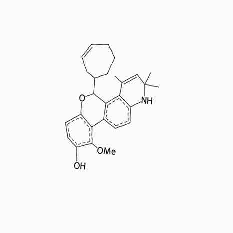 COc1c(O)ccc2c1-c1ccc3c(c1C(C1CC=CCCC1)O2)C(C)=CC(C)(C)N3